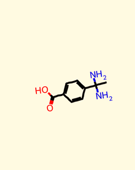 CC(N)(N)c1ccc(C(=O)O)cc1